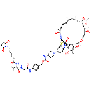 CO[C@H]1/C=C/O[C@@]2(C)Oc3c(C)c(O)c4c(=O)c(c5sc6cc(N7CCC(N(C)C(=O)OCc8ccc(NC(=O)CNC(=O)C(NC(=O)CCCCCN9C(=O)C=CC9=O)C(C)C)cc8)CC7)ccc6nc-5c4c3C2=O)NC(=O)/C(C)=C\C=C\[C@H](C)C[C@@H](C)C[C@@H](C)[C@H](OC(C)=O)[C@@H]1C